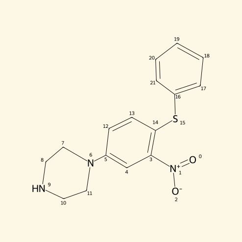 O=[N+]([O-])c1cc(N2CCNCC2)ccc1Sc1ccccc1